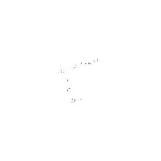 [In+3].[O-2].[O-2].[O-2].[O-2].[Sc+3].[Zn+2]